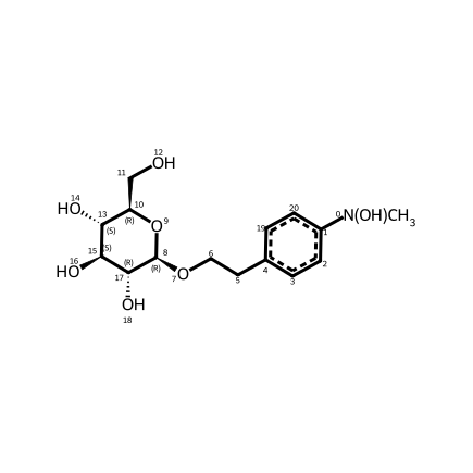 CN(O)c1ccc(CCO[C@@H]2O[C@H](CO)[C@@H](O)[C@H](O)[C@H]2O)cc1